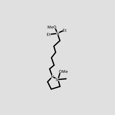 CC[Si](CC)(CCCCCCN1CCC[Si]1(C)OC)OC